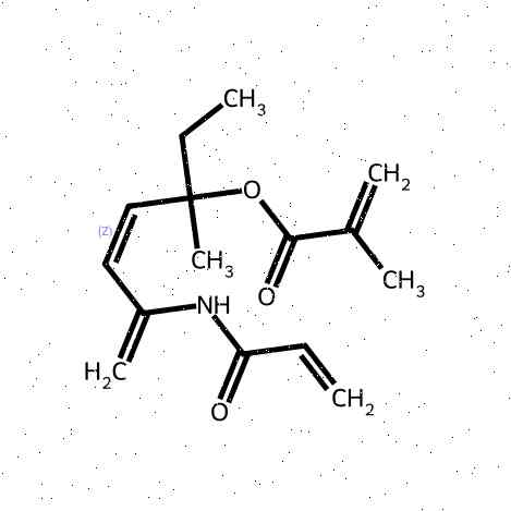 C=CC(=O)NC(=C)/C=C\C(C)(CC)OC(=O)C(=C)C